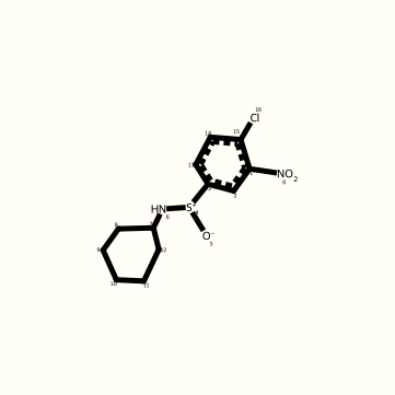 O=[N+]([O-])c1cc([S+]([O-])NC2CCCCC2)ccc1Cl